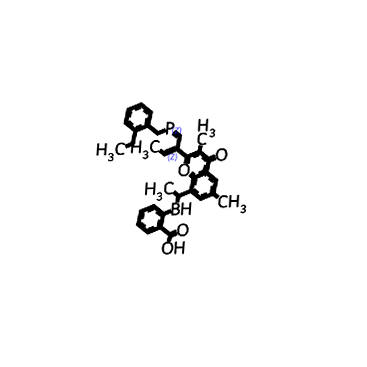 C/C=C(\C=P/Cc1ccccc1CC)c1oc2c(C(C)Bc3ccccc3C(=O)O)cc(C)cc2c(=O)c1C